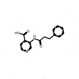 O=C(CCc1ccccc1)Nc1cnccc1C(=O)O